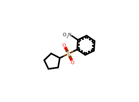 O=[N+]([O-])c1ccccc1S(=O)(=O)C1CCCC1